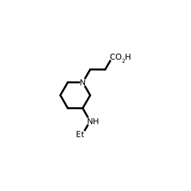 CCNC1CCCN(CCC(=O)O)C1